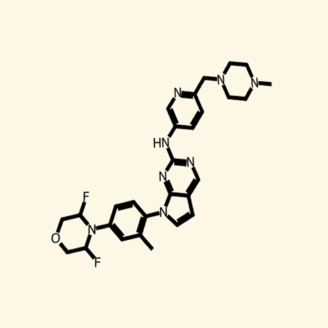 Cc1cc(N2C(F)COCC2F)ccc1-n1ccc2cnc(Nc3ccc(CN4CCN(C)CC4)nc3)nc21